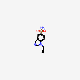 C#CCN1C=NCc2cc(S(N)(=O)=O)ccc21